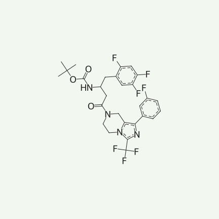 CC(C)(C)OC(=O)NC(CC(=O)N1CCn2c(C(F)(F)F)nc(-c3cccc(F)c3)c2C1)Cc1cc(F)c(F)cc1F